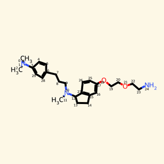 CN(C)c1ccc(CCCN(C)C2CCc3cc(OCCOCCN)ccc32)cc1